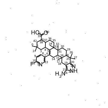 CC1(C)CC2C3=C(c4ccc(F)nc4)CC4C5(C)Cc6c(n[nH]c6N)C(C)(C)C5CCC4(C)C3(C)CCC2[C@H](C(=O)O)C1